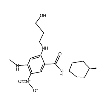 CNc1cc(NCCCO)c(C(=O)N[C@H]2CC[C@H](C)CC2)cc1[N+](=O)[O-]